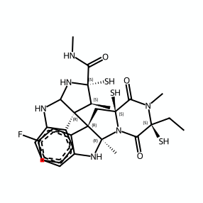 CC[C@]1(S)C(=O)N2[C@](S)(C[C@]3([C@@]45c6ccccc6NC4N[C@@](S)(C(=O)NC)[C@H]5C)c4cc(F)ccc4N[C@]23C)C(=O)N1C